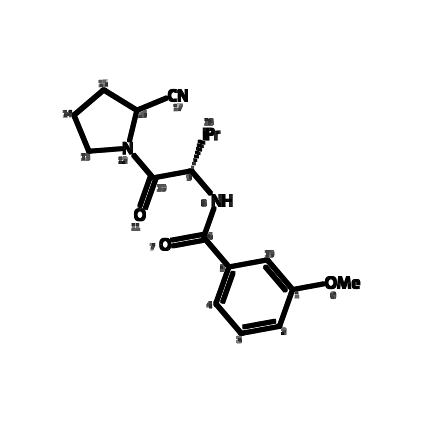 COc1cccc(C(=O)N[C@H](C(=O)N2CCCC2C#N)C(C)C)c1